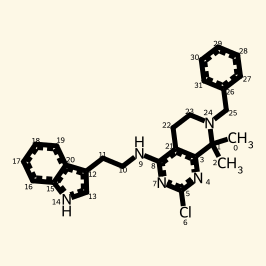 CC1(C)c2nc(Cl)nc(NCCc3c[nH]c4ccccc34)c2CCN1Cc1ccccc1